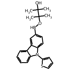 CC(C)(O)C(C)(C)OBc1ccc2c(c1)c1ccccc1n2-c1cccs1